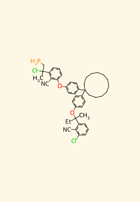 CCC(C)(Oc1ccc(C2(c3ccc(Oc4cccc(C(C)(Cl)CP)c4C#N)cc3)CCCCCCCCCCC2)cc1)c1cccc(Cl)c1C#N